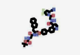 CC(C)(C)OC(=O)NCC(=O)N[C@H](COc1ccc(-c2ccc3nccc(C(=O)NCC(=O)N4CC(F)(F)C[C@H]4C#N)c3c2)cc1)Cc1ccc2ccccc2c1